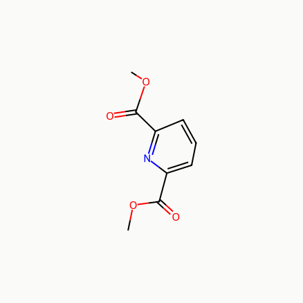 COC(=O)c1cccc(C(=O)OC)n1